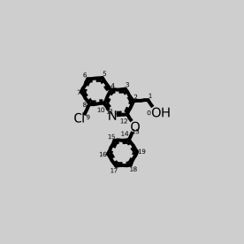 OCc1cc2cccc(Cl)c2nc1Oc1ccccc1